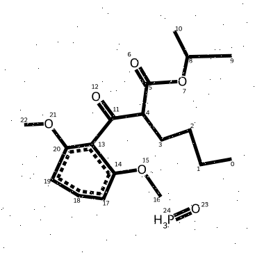 CCCCC(C(=O)OC(C)C)C(=O)c1c(OC)cccc1OC.O=[PH3]